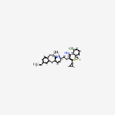 C=Cc1ccc2c(c1)Cc1ccc(CC/C(C(=N)c3c(C)cccc3Cl)=C(/S)C3CC3)nc1[C@@H](C)C2